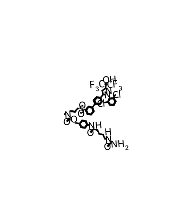 CN(CCCS(=O)(=O)c1cccc(-c2ccc(C3CC(C(O)(C(F)(F)F)C(F)(F)F)=NN3c3c(Cl)cccc3Cl)cc2)c1)C(=O)OCc1ccc(NC(=O)CCCCNC(N)=O)cc1